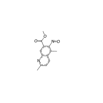 COC(=O)c1cc2nc(C)ccc2c(C)c1N=O